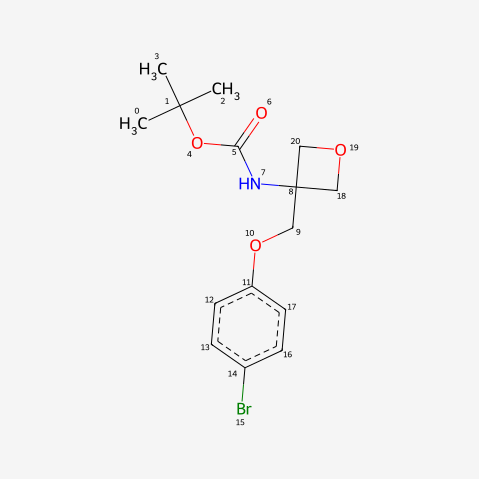 CC(C)(C)OC(=O)NC1(COc2ccc(Br)cc2)COC1